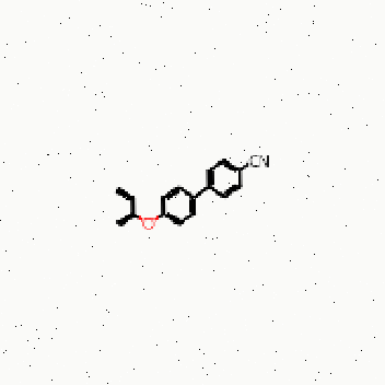 C=CC(=C)Oc1ccc(-c2ccc(C#N)cc2)cc1